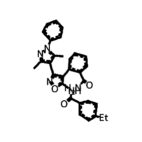 CCc1ccc(C(=O)Nc2onc(-c3c(C)nn(-c4ccccc4)c3C)c2-c2ccccc2C(N)=O)cc1